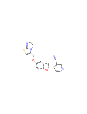 N#Cc1cnccc1-c1cc2cc(OCC3=CSC4=NCCN34)ccc2o1